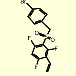 C=Cc1c(F)cc(F)c(S(=O)(=O)Cc2ccc(Br)cc2)c1F